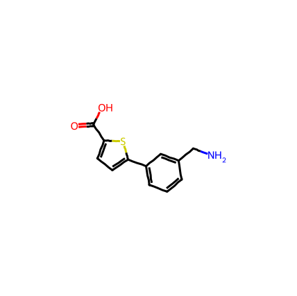 NCc1cccc(-c2ccc(C(=O)O)s2)c1